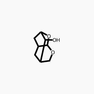 OC1C2COC3OC1CC3C2